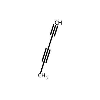 C#CC#CC